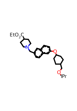 CCOC(=O)C1CCN(Cc2ccc3cc(OC4CCC(COC(C)C)CC4)ccc3c2)CC1